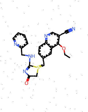 CCOc1c(C#N)cnc2ccc(/C=S3/CC(=O)N=C3NCc3ccccn3)cc12